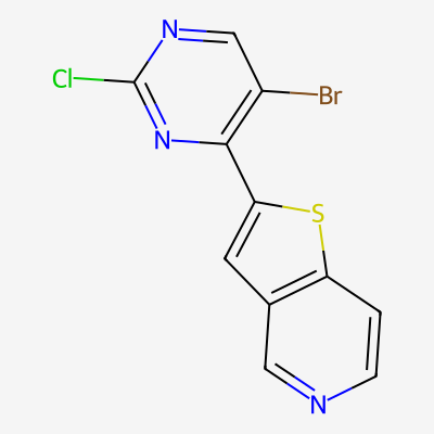 Clc1ncc(Br)c(-c2cc3cnccc3s2)n1